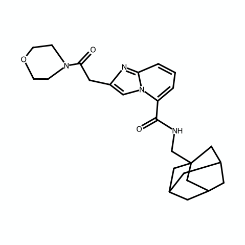 O=C(NCC12CC3CC(CC(C3)C1)C2)c1cccc2nc(CC(=O)N3CCOCC3)cn12